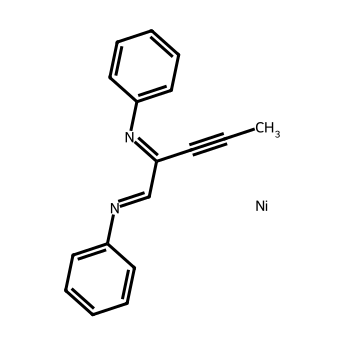 CC#CC(C=Nc1ccccc1)=Nc1ccccc1.[Ni]